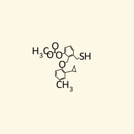 COC(=O)Oc1cccc(CS)c1COc1ccc(C)cc1C1CC1